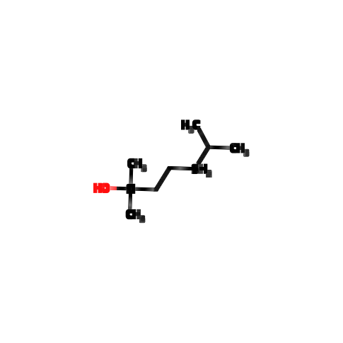 CC(C)[SiH2]CC[Si](C)(C)O